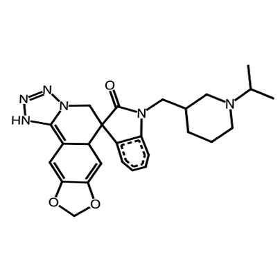 CC(C)N1CCCC(CN2C(=O)C3(CN4N=NNC4=C4C=C5OCOC5=CC43)c3ccccc32)C1